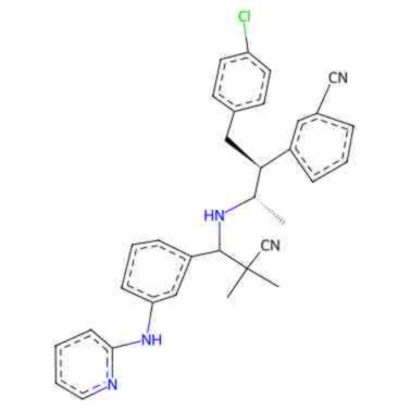 C[C@H](NC(c1cccc(Nc2ccccn2)c1)C(C)(C)C#N)[C@@H](Cc1ccc(Cl)cc1)c1cccc(C#N)c1